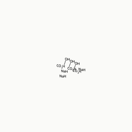 O=C(O)O.O=C(O)O.O=C(O)O.[NaH].[NaH].[NaH]